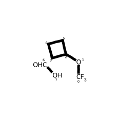 FC(F)(F)OC1CCC1.O=CO